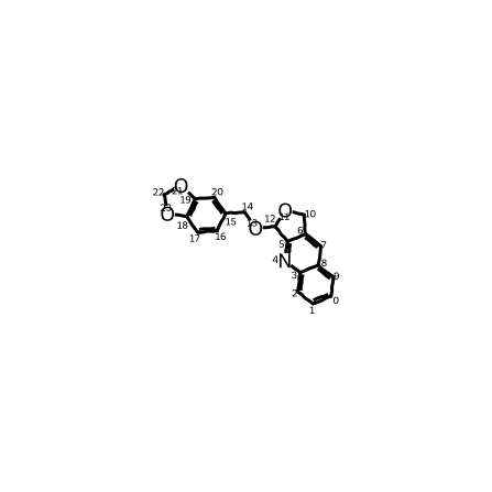 c1ccc2nc3c(cc2c1)COC3OCc1ccc2c(c1)OCO2